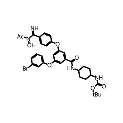 CC(=O)N(O)C(=N)c1ccc(Oc2cc(Oc3cccc(Br)c3)cc(C(=O)NC3CCC(NC(=O)OC(C)(C)C)CC3)c2)cc1